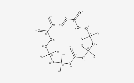 C=CC(=O)OOC(C)(C)OC(C)(C)OC(=O)OC(C)(C)OC(C)(C)OOC(=O)C=C